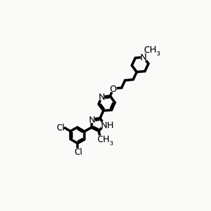 Cc1[nH]c(-c2ccc(OCCCC3CCN(C)CC3)nc2)nc1-c1cc(Cl)cc(Cl)c1